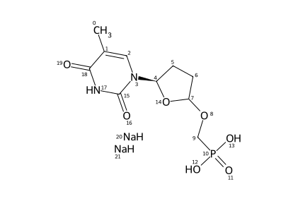 Cc1cn([C@H]2CCC(OCP(=O)(O)O)O2)c(=O)[nH]c1=O.[NaH].[NaH]